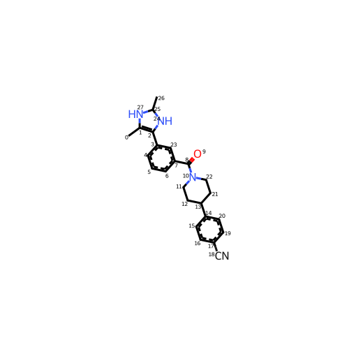 CC1=C(c2cccc(C(=O)N3CCC(c4ccc(C#N)cc4)CC3)c2)NC(C)N1